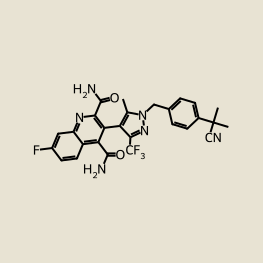 Cc1c(-c2c(C(N)=O)nc3cc(F)ccc3c2C(N)=O)c(C(F)(F)F)nn1Cc1ccc(C(C)(C)C#N)cc1